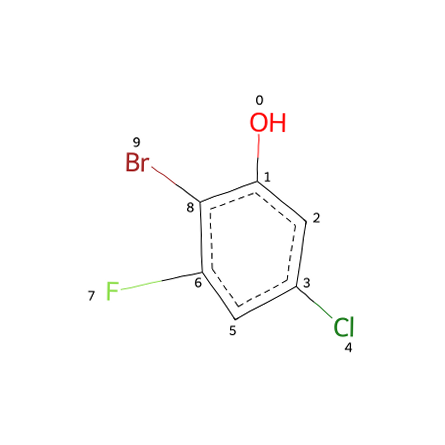 Oc1cc(Cl)cc(F)c1Br